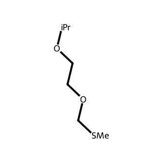 CSCOCCOC(C)C